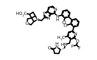 Cc1cc(-c2cccc(-c3cccc(Nc4nccc5sc(CN6C7COCC78C(C(=O)O)CC68)nc45)c3Cl)c2Cl)nc(OC(F)F)c1CNC[C@@H]1CCC(=O)N1